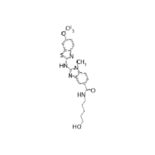 Cn1c(Nc2nc3ccc(OC(F)(F)F)cc3s2)nc2cc(C(=O)NCCCCCO)ccc21